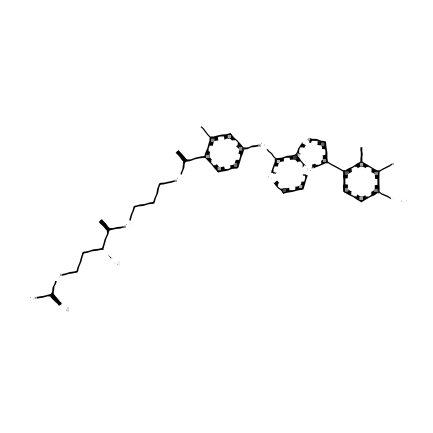 CCc1cc(Nc2nccn3c(-c4ccc(OC)c(F)c4F)cnc23)ccc1C(=O)NCCCNC(=O)[C@@H](N)CCNC(=N)N